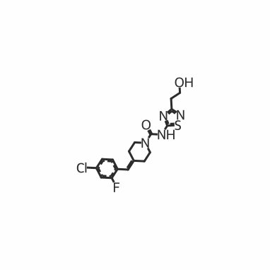 O=C(Nc1nc(CCO)ns1)N1CCC(=Cc2ccc(Cl)cc2F)CC1